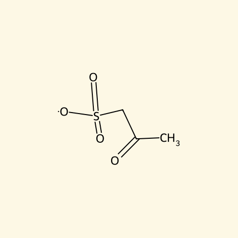 CC(=O)CS([O])(=O)=O